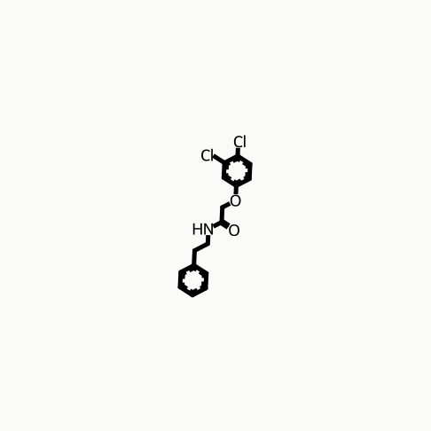 O=C(COc1ccc(Cl)c(Cl)c1)NCCc1ccccc1